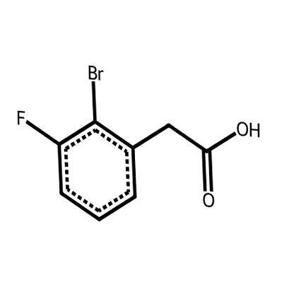 O=C(O)Cc1cccc(F)c1Br